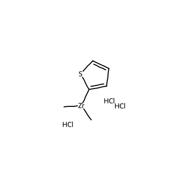 Cl.Cl.Cl.[CH3][Zr]([CH3])[c]1cccs1